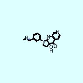 C/N=C/c1cccc(N2CCC3(O)C(=O)c4ccncc4N=C23)c1